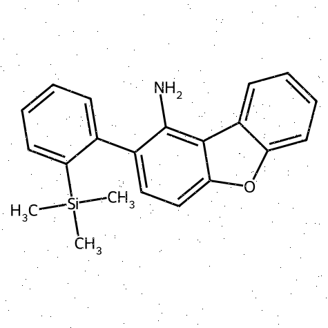 C[Si](C)(C)c1ccccc1-c1ccc2oc3ccccc3c2c1N